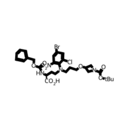 CC(C)(C)OC(=O)N1CC(OCCCN(CC[C@H](NC(=O)OCc2ccccc2)C(=O)O)c2c(Cl)cc(Br)cc2[N+](=O)[O-])C1